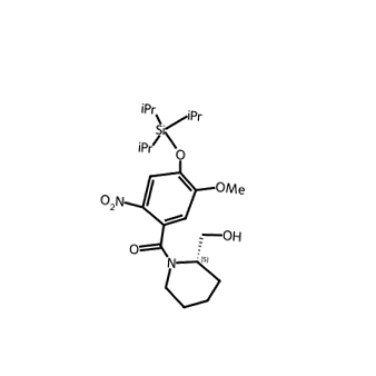 COc1cc(C(=O)N2CCCC[C@H]2CO)c([N+](=O)[O-])cc1O[Si](C(C)C)(C(C)C)C(C)C